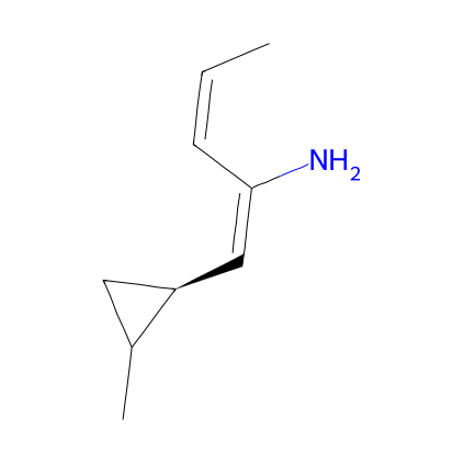 C/C=C\C(N)=C/[C@@H]1CC1C